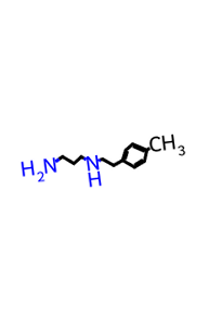 Cc1ccc(CCNCCCN)cc1